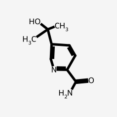 CC(C)(O)c1ccc(C(N)=O)nc1